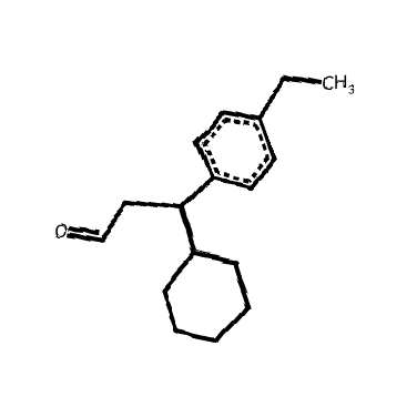 CCc1ccc(C(CC=O)C2CCCCC2)cc1